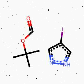 CC(C)(C)OC=O.Ic1cn[nH]c1